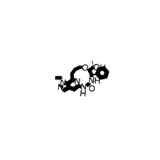 CCn1ncc2cc3nc(c21)CCCO[C@@H]([C@H](C)O)[C@@H](c1ccccc1)NC(=O)N3